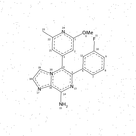 COc1cc(-c2c(-c3cccc(F)c3)nc(N)c3nccn23)cc(C)n1